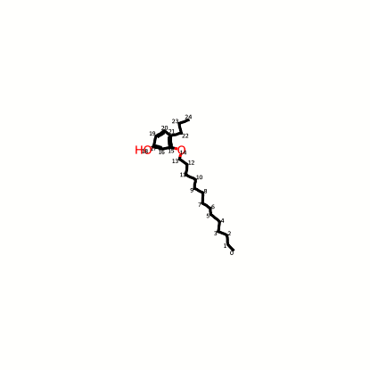 CCCCCCCCCCCCCCOc1cc(O)ccc1CCC